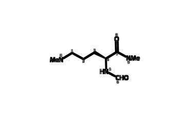 CNCCC[C@H](NC=O)C(=O)NC